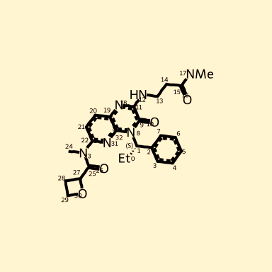 CC[C@@H](c1ccccc1)n1c(=O)c(NCCC(=O)NC)nc2ccc(N(C)C(=O)C3CCO3)nc21